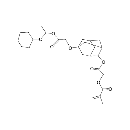 C=C(C)C(=O)OCC(=O)OC1C2CC3CC1CC(OCC(=O)OC(C)OC1CCCCC1)(C3)C2